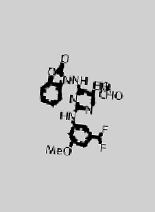 COc1cc(Nc2ncc(C)c(Nn3c(=O)oc4ccccc43)n2)cc(C(F)F)c1.O=CO